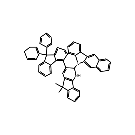 CC1(C)C2=C(NC(n3c4ccccc4c4cc5ccccc5cc43)C(c3cccc4c3-c3ccccc3C4(C3=CCCC=C3)c3ccccc3)=C2)c2ccccc21